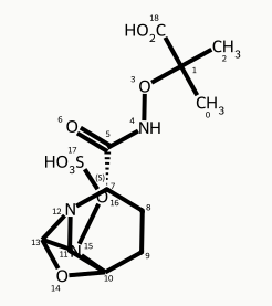 CC(C)(ONC(=O)[C@@H]1CCC23CN1C(O2)N3OS(=O)(=O)O)C(=O)O